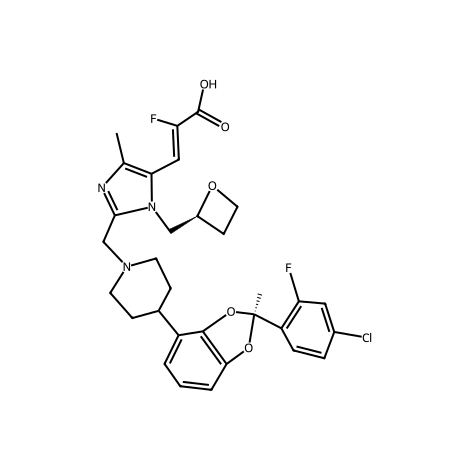 Cc1nc(CN2CCC(c3cccc4c3O[C@@](C)(c3ccc(Cl)cc3F)O4)CC2)n(C[C@@H]2CCO2)c1/C=C(\F)C(=O)O